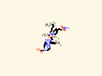 C=C(OC(C)CNC(CC)N1CCN(CCC(=O)O)CC1)N(CCC/C=C(\C)Cl)CN1CCC(CCS(N)(=O)=O)CC1